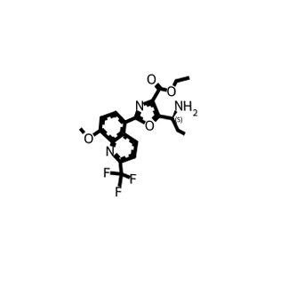 CCOC(=O)c1nc(-c2ccc(OC)c3nc(C(F)(F)F)ccc23)oc1[C@@H](N)CC